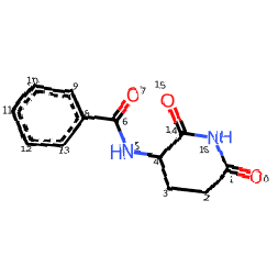 O=C1CCC(NC(=O)c2c[c]ccc2)C(=O)N1